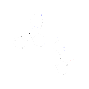 Cl.Nc1nnc(-c2ccccc2O)cc1N1CCC(C(=O)N2CCNCC2)(c2ccccc2)CC1